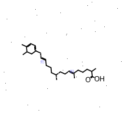 CC1=CC=C(C/C=C/CCCC(C)CC/C=C(\C)CCCC(C)C(=O)O)CC1C